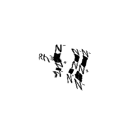 [N-]=[N+]=[N-].[N-]=[N+]=[N-].[N-]=[N+]=[N-].[Rh+3]